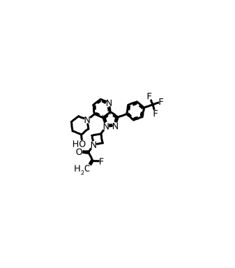 C=C(F)C(=O)N1CC(n2nc(-c3ccc(C(F)(F)F)cc3)c3nccc(N4CCCC(O)C4)c32)C1